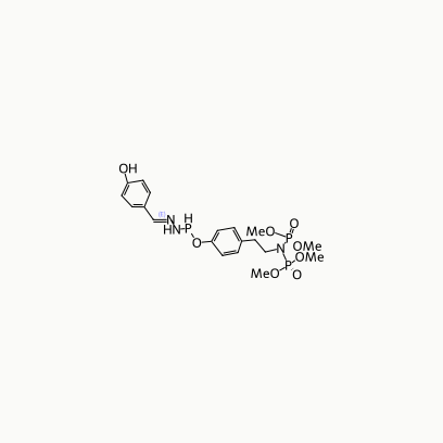 COP(=O)(OC)N(CCc1ccc(OPN/N=C/c2ccc(O)cc2)cc1)P(=O)(OC)OC